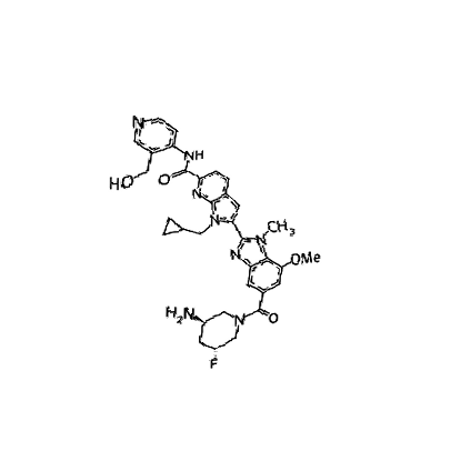 COc1cc(C(=O)N2C[C@H](N)C[C@@H](F)C2)cc2nc(-c3cc4ccc(C(=O)Nc5ccncc5CO)nc4n3CC3CC3)n(C)c12